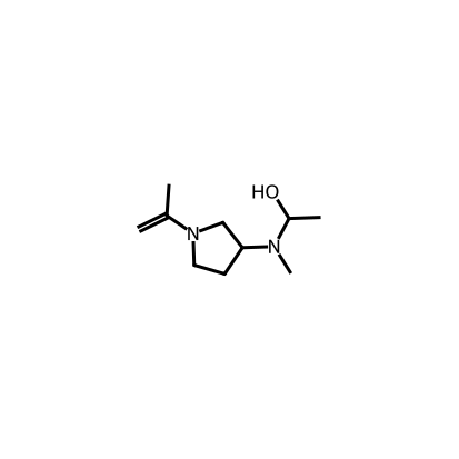 C=C(C)N1CCC(N(C)C(C)O)C1